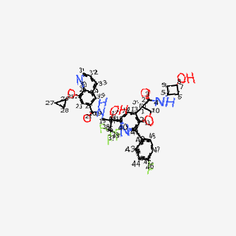 C[C@]1(C(=O)N[C@H]2C[C@@H](O)C2)COc2c1cc([C@@](O)(CNC(=O)c1cc(OC3CC3)c3ncccc3c1)C(F)(F)F)nc2-c1ccc(F)cc1